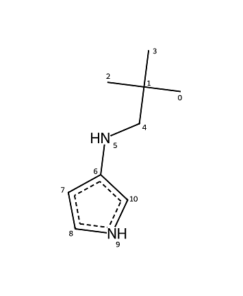 CC(C)(C)CNc1cc[nH]c1